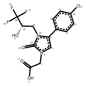 O=C(O)Cn1cc(-c2ccc(Cl)cc2)n(C[C@H](O)C(F)(F)F)c1=O